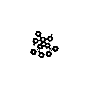 Cc1cccc(C2=c3c(c4ccc(N(c5ccccc5)c5ccccc5)cc4c4cc(N(c5ccccc5)c5ccccc5)ccc34)=C(c3cccc(C)c3)C(c3ccccc3)C2)c1